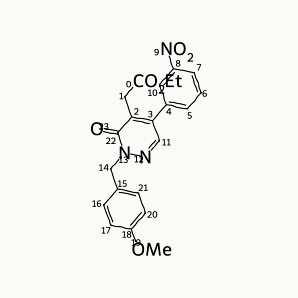 CCOC(=O)Cc1c(-c2cccc([N+](=O)[O-])c2)cnn(Cc2ccc(OC)cc2)c1=O